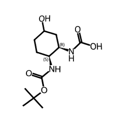 CC(C)(C)OC(=O)N[C@H]1CCC(O)C[C@H]1NC(=O)O